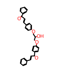 O=C(/C=C/c1ccc(OCC(O)COc2ccc(C(=O)/C=C/c3ccccc3)cc2)cc1)c1ccccc1